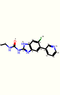 CCNC(=O)Nc1nc2cc(-c3cccnc3)c(F)cc2[nH]1